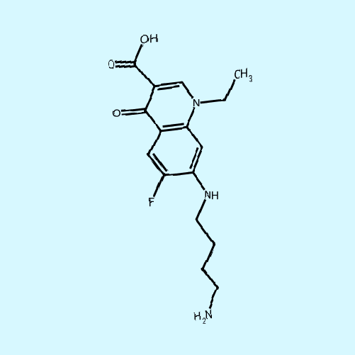 CCn1cc(C(=O)O)c(=O)c2cc(F)c(NCCCCN)cc21